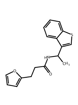 CC(NC(=O)CCc1ccco1)c1csc2ccccc12